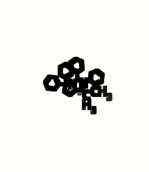 Cc1ccccc1N1C(c2ccccc2)N2C(C=CC2(c2ccccc2)c2ccccc2)[C@@H]1C